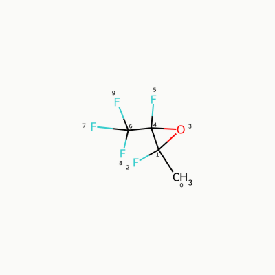 CC1(F)OC1(F)C(F)(F)F